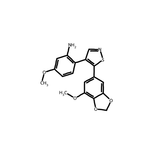 COc1ccc(-c2cnsc2-c2cc(OC)c3c(c2)OCO3)c(N)c1